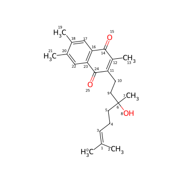 CC(C)=CCCC(C)(O)CCC1=C(C)C(=O)c2cc(C)c(C)cc2C1=O